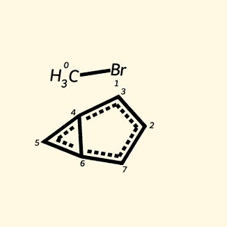 CBr.c1cc2cc-2c1